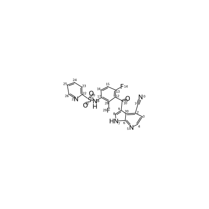 N#Cc1ccnc2[nH]cc(C(=O)c3c(F)ccc(NS(=O)(=O)c4ccccn4)c3F)c12